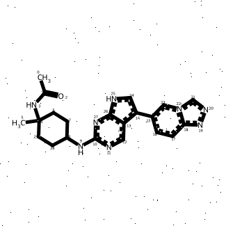 CC(=O)NC1(C)CCC(Nc2ncc3c(-c4ccc5nncn5c4)c[nH]c3n2)CC1